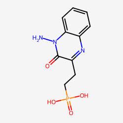 Nn1c(=O)c(CCP(=O)(O)O)nc2ccccc21